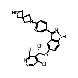 C[C@H](Oc1ccc2[nH]nc(-c3ccc(N4CC5(CNC5)C4)nc3)c2c1)c1c(Cl)cnnc1Cl